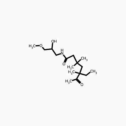 CCC(C)(CC(C)(C)CC(=O)NCC(O)COC)C(C)=O